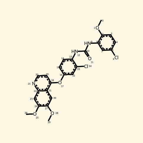 COc1ccc(Cl)cc1NC(=O)Nc1ccc(Oc2ccnc3cc(OC)c(OC)cc23)cc1Cl